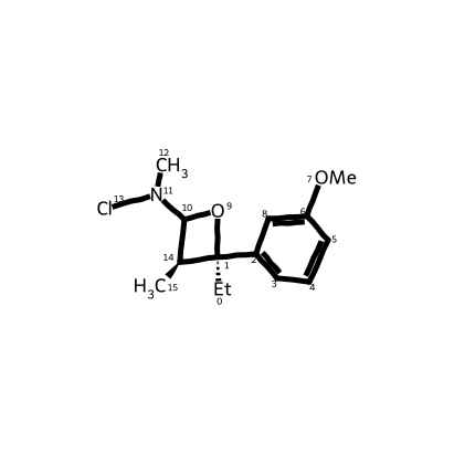 CC[C@@]1(c2cccc(OC)c2)OC(N(C)Cl)[C@@H]1C